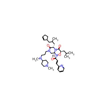 CC(C)C[C@H]1ON(C(=O)/C=C/c2ccccn2)[C@H]2CN(CCCN(C)C3CCN(C)CC3)C(=O)[C@H](CC(C)CC3C=CCC3)N2C1=O